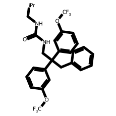 CC(C)CNC(=O)NCC(Cc1ccccc1)(c1cccc(OC(F)(F)F)c1)c1cccc(OC(F)(F)F)c1